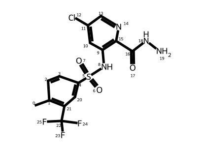 Cc1ccc(S(=O)(=O)Nc2cc(Cl)cnc2C(=O)NN)cc1C(F)(F)F